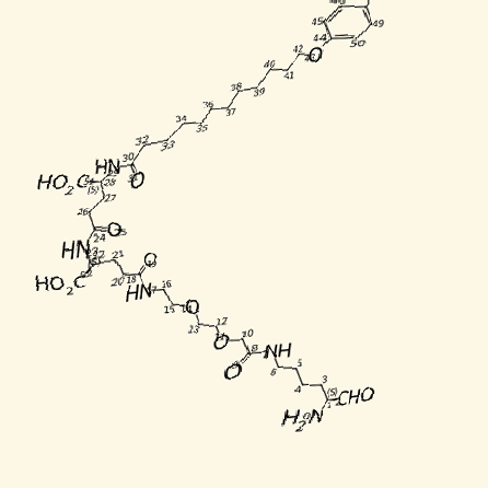 N[C@H](C=O)CCCCNC(=O)COCCOCCNC(=O)CC[C@H](NC(=O)CC[C@H](NC(=O)CCCCCCCCCCCOc1ccc(C(=O)O)cc1)C(=O)O)C(=O)O